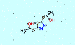 CC(O)Sc1nnc(SC(C)O)s1